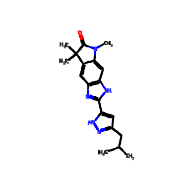 CC(C)Cc1cc(-c2nc3cc4c(cc3[nH]2)N(C)C(=O)C4(C)C)[nH]n1